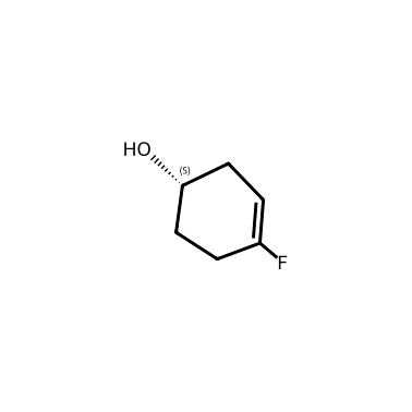 O[C@@H]1CC=C(F)CC1